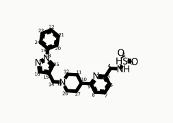 O=[SH](=O)NCc1cccc(C2CCN(Cc3cnn(-c4ccccc4)c3)CC2)n1